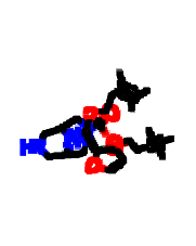 C[Si](C)(C)CCOC(=O)N1CC2CNCC(C1)N2C(OCC[Si](C)(C)C)=C1CC=CO1